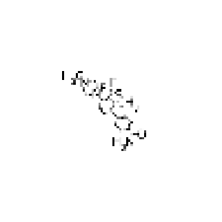 Cc1c(-c2ccc(C(N)=O)cc2)ccc(N2CCN(C)CC2)c1C(F)(F)F